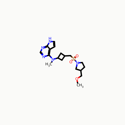 COCC1CCN(S(=O)(=O)CC2CC(N(C)c3ncnc4[nH]ccc34)C2)C1